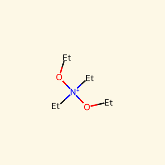 CCO[N+](CC)(CC)OCC